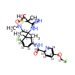 CN1C[C@@](C)(C2(C)CC(NC(=O)c3ccc(OCF)cn3)=CC=C2F)NC(=N)C(C)(C)S1(=O)=O